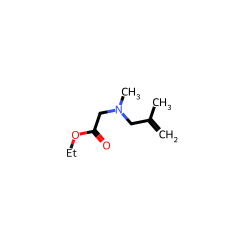 C=C(C)CN(C)CC(=O)OCC